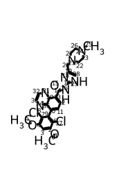 COc1cc(OC)c(Cl)c(-c2ccc(C(=O)Nc3nc(CN4CCN(C)CC4)c[nH]3)c3nccnc23)c1Cl